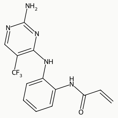 C=CC(=O)Nc1ccccc1Nc1nc(N)ncc1C(F)(F)F